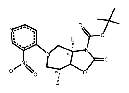 C[C@@H]1CN(c2ccncc2[N+](=O)[O-])C[C@@H]2C1OC(=O)N2C(=O)OC(C)(C)C